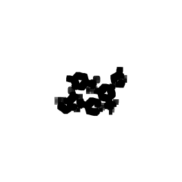 Cc1cn(-c2cc(NC(=O)c3ccc(C)c(Oc4nc(-c5ccncc5)nc5cc[nH]c45)c3)cc(C(F)(F)F)c2)cn1